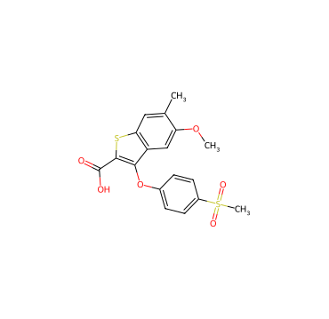 COc1cc2c(Oc3ccc(S(C)(=O)=O)cc3)c(C(=O)O)sc2cc1C